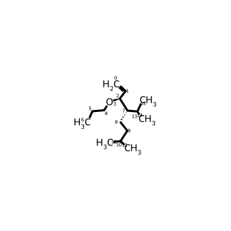 C=C[C@H](OCCC)[C@@H](CCC(C)C)C(C)C